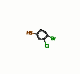 Sc1ccc(Br)c(Cl)c1